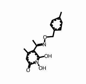 C/C(=N\OCc1ccc(C)cc1)c1c(C)cc(=O)n(O)c1O